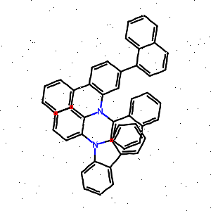 c1ccc(-c2ccc(-c3cccc4ccccc34)cc2N(c2ccccc2-n2c3ccccc3c3ccccc32)c2cccc3ccccc23)cc1